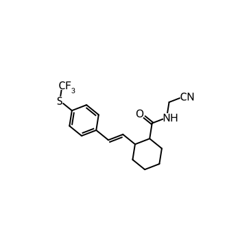 N#CCNC(=O)C1CCCCC1C=Cc1ccc(SC(F)(F)F)cc1